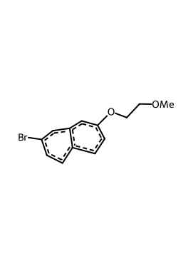 COCCOc1ccc2ccc(Br)cc2c1